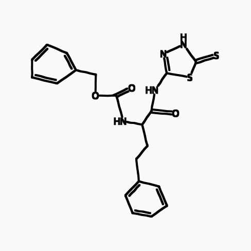 O=C(NC(CCc1ccccc1)C(=O)Nc1n[nH]c(=S)s1)OCc1ccccc1